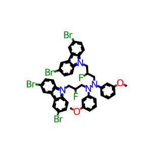 COc1cccc(N(CC(F)Cn2c3ccc(Br)cc3c3cc(Br)ccc32)N(CC(F)Cn2c3ccc(Br)cc3c3cc(Br)ccc32)c2cccc(OC)c2)c1